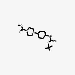 COC(=O)N1CCN(C2CCC(NC(O)OC(C)(C)C)CC2)CC1